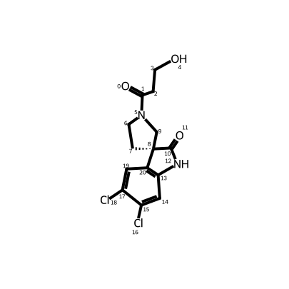 O=C(CCO)N1CC[C@]2(C1)C(=O)Nc1cc(Cl)c(Cl)cc12